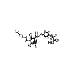 CCCCCCCn1c(=O)c(NCCc2ccc(SC(C)(C)C(=O)O)cc2)nn(C)c1=O